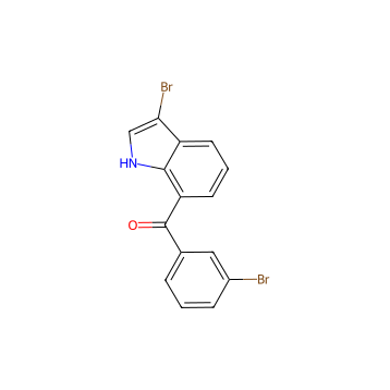 O=C(c1cccc(Br)c1)c1cccc2c(Br)c[nH]c12